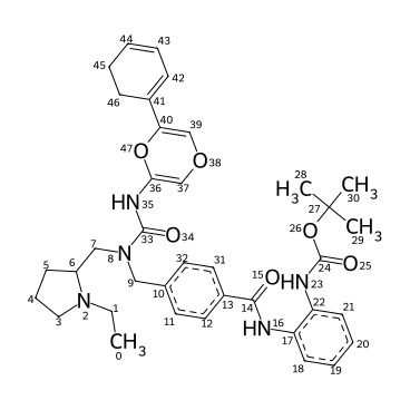 CCN1CCCC1CN(Cc1ccc(C(=O)Nc2ccccc2NC(=O)OC(C)(C)C)cc1)C(=O)NC1=COC=C(C2=CC=CCC2)O1